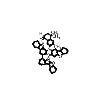 Cc1cc2c(cc1N1c3cc4c(cc3B3c5c(cc6c(sc7ccccc76)c51)-c1cccc5c6c7ccccc7oc6n3c15)oc1ccccc14)C(C)(C)CCC2(C)C